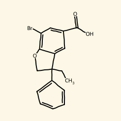 CCC1(c2ccccc2)COc2c(Br)cc(C(=O)O)cc21